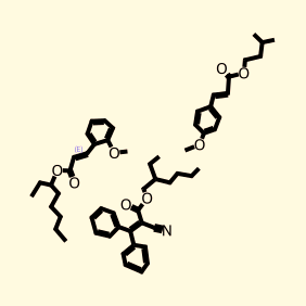 CCCCC(CC)COC(=O)C(C#N)=C(c1ccccc1)c1ccccc1.CCCCCC(CC)OC(=O)/C=C/c1ccccc1OC.COc1ccc(C=CC(=O)OCCC(C)C)cc1